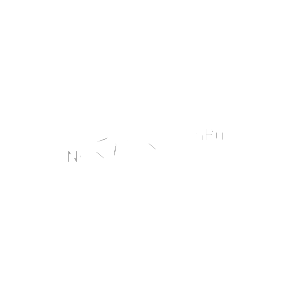 CCCCC1CCC(C=CCCc2ccc(C#N)cc2)CC1